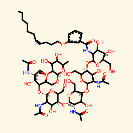 CCCCCC/C=C\CCCOc1cccc(C(=O)NC2C(O[C@@H]3C(CO)OC(O[C@@H]4C(CO)O[C@@H](O[C@@H]5C(CO)O[C@@H](OC6C(CO[C@@H]7OC(C)C(O)C(O)C7OC)OC[C@@H](NC(C)=O)[C@H]6O)C(NC(C)=O)C5O)[C@@H](NC(C)=O)C4O)C(NC(C)=O)C3O)OC(CO)[C@@H](O)C2O)c1